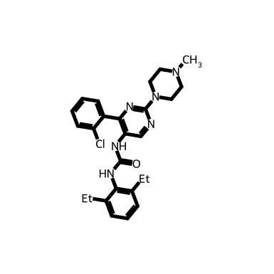 CCc1cccc(CC)c1NC(=O)Nc1cnc(N2CCN(C)CC2)nc1-c1ccccc1Cl